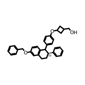 OCC1CC(Oc2ccc(C3c4ccc(OCc5ccccc5)cc4CC[C@@H]3c3ccccc3)cc2)C1